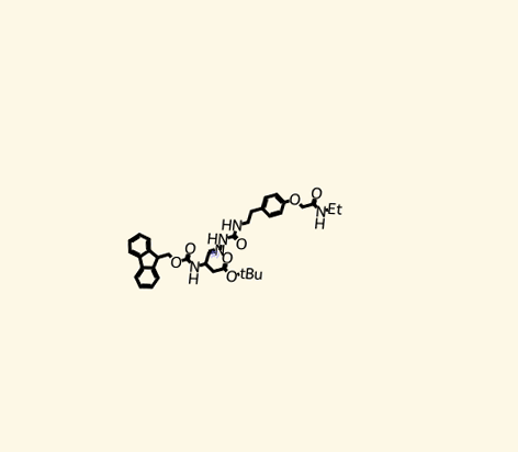 CCNC(=O)COc1ccc(CCNC(=O)N/N=C/C(CC(=O)OC(C)(C)C)NC(=O)OCC2c3ccccc3-c3ccccc32)cc1